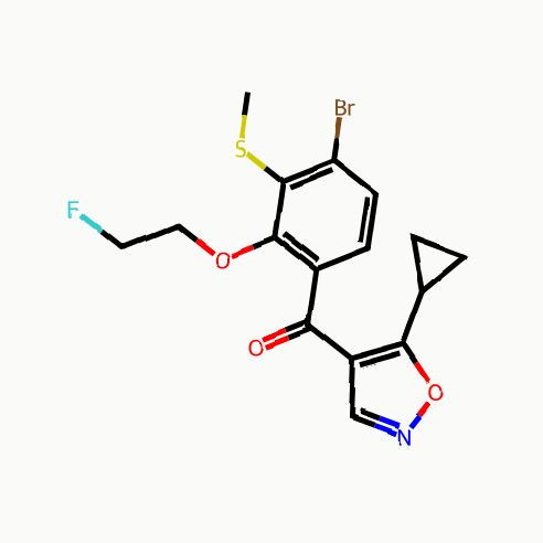 CSc1c(Br)ccc(C(=O)c2cnoc2C2CC2)c1OCCF